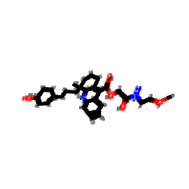 COCCNC(=O)COC(=O)c1c2c(nc3ccccc13)C(C)(CCCc1ccc(O)cc1)CCC2